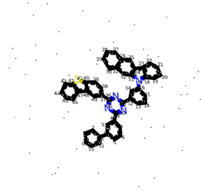 c1ccc(-c2cccc(-c3nc(-c4cccc(-n5c6ccccc6c6cc7ccccc7cc65)c4)nc(-c4ccc5sc6ccccc6c5c4)n3)c2)cc1